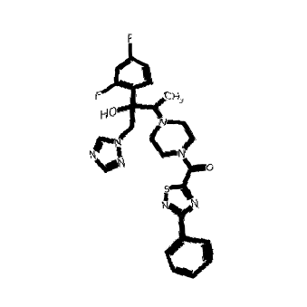 CC(N1CCN(C(=O)c2nc(-c3ccccc3)ns2)CC1)C(O)(Cn1cncn1)c1ccc(F)cc1F